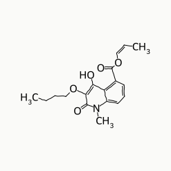 C/C=C\OC(=O)c1cccc2c1c(O)c(OCCCC)c(=O)n2C